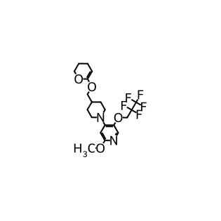 COc1cc(N2CCC(COC3=CCCCO3)CC2)c(OCC(F)(F)C(F)(F)F)cn1